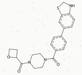 O=C(c1ccc(-c2ccc3c(c2)SCN3)cc1)N1CCN(C(=O)C2CCO2)CC1